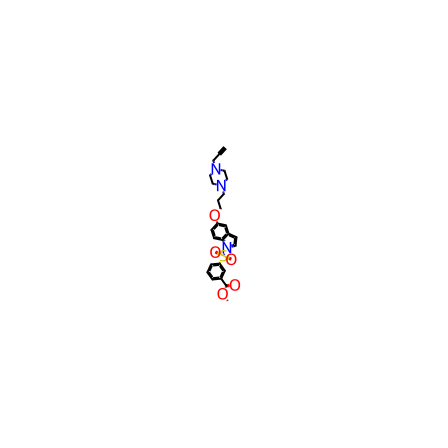 C#CCN1CCN(CCCOc2ccc3c(ccn3S(=O)(=O)c3cccc(C(=O)OC)c3)c2)CC1